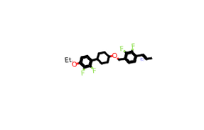 C/C=C/c1ccc(COC2CCC(c3ccc(OCC)c(F)c3F)CC2)c(F)c1F